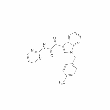 O=C(Nc1ncccn1)C(=O)c1cn(Cc2ccc(C(F)(F)F)cc2)c2ccccc12